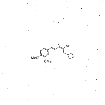 COc1ccc(/C=C/C(C)=C(\CC2CCC2)C(C)=O)cc1OC